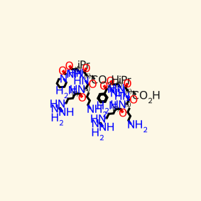 CC(C)[C@H](NC(=O)[C@H](CC(=O)O)NC(=O)[C@H](CCCCN)NC(=O)[C@@H](N)CCCNC(=N)N)C(=O)N(N)C(=O)c1ccccc1.CC(C)[C@H](NC(=O)[C@H](CC(=O)O)NC(=O)[C@H](CCCCN)NC(=O)[C@@H](N)CCCNC(=N)N)C(=O)NC(=O)N1CCCCC1